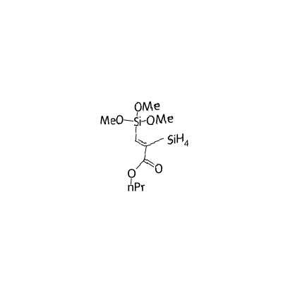 CCCOC(=O)C(C)=C[Si](OC)(OC)OC.[SiH4]